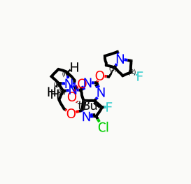 CC(C)(C)OC(=O)N1[C@@H]2CC[C@H]1[C@@H]1CCOc3nc(Cl)c(F)c4nc(OC[C@@]56CCCN5C[C@H](F)C6)nc(c34)N1C2